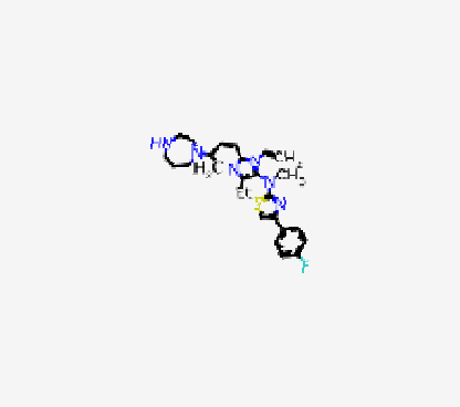 C=Cn1c(/C=C\C(C)N2CCCNCC2)nc(CC)c1N(C)c1nc(-c2ccc(F)cc2)cs1